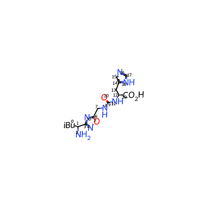 CCC(C)[C@H](N)c1noc(CNC(=O)N[C@@H](Cc2cnc[nH]2)C(=O)O)n1